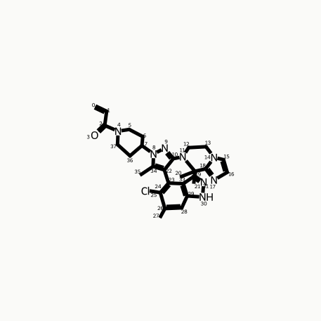 C=CC(=O)N1CCC(n2nc(N3CCn4ccnc4C3(C)C)c(-c3c(Cl)c(C)cc4[nH]ncc34)c2C)CC1